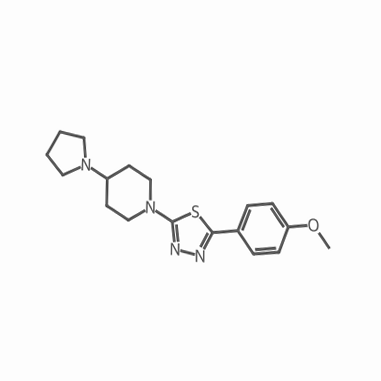 COc1ccc(-c2nnc(N3CCC(N4CCCC4)CC3)s2)cc1